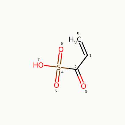 C=CC(=O)S(=O)(=O)O